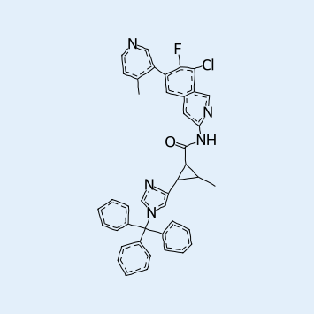 Cc1ccncc1-c1cc2cc(NC(=O)C3C(C)C3c3cn(C(c4ccccc4)(c4ccccc4)c4ccccc4)cn3)ncc2c(Cl)c1F